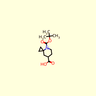 CC(C)(C)OC(=O)N1CCC(C(=O)O)CC12CC2